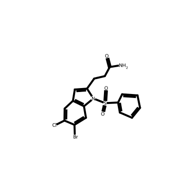 NC(=O)CCc1cc2cc(Cl)c(Br)cc2n1S(=O)(=O)c1ccccc1